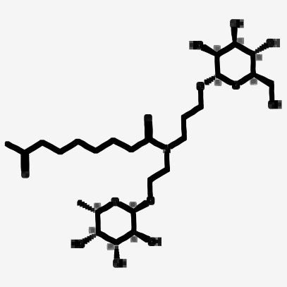 CC(=O)CCCCCCC(=O)N(CCCO[C@H]1O[C@H](CO)[C@@H](O)[C@H](O)[C@@H]1O)CCO[C@@H]1O[C@@H](C)[C@@H](O)[C@@H](O)[C@@H]1O